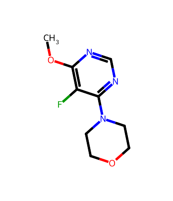 COc1ncnc(N2CCOCC2)c1F